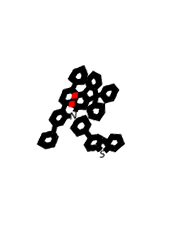 c1ccc(-c2ccc(-c3ccc(-c4ccccc4)cc3N(c3ccc(-c4ccc5sc6ccccc6c5c4)cc3)c3ccc4c(c3)C(c3ccccc3)(c3ccccc3)c3ccccc3-4)cc2)cc1